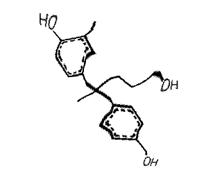 Cc1cc(C(C)(CCCO)c2ccc(O)cc2)ccc1O